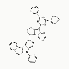 c1ccc(-c2nc(-c3ccccc3)nc(-n3c4ccccc4c4c(-c5ccc6c(c5)c5c7ccccc7ccc5n6-c5ccccc5)cccc43)n2)cc1